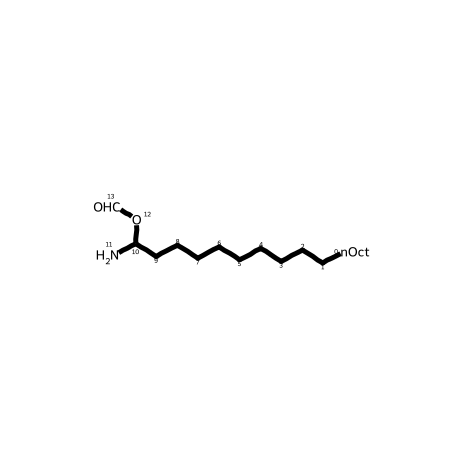 CCCCCCCCCCCCCCCCCC(N)OC=O